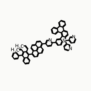 C=Cc1c(/C=C\C)c(-c2ccc3ccc4c(-c5ccc(-c6ccc7c(c6)-c6c(ccc8c9ccccc9c9ccccc9c68)[Si]7(c6cccnc6)c6cccnc6)nc5)ccc5ccc2c3c54)c2ccccc2c1-c1ccccc1